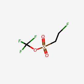 O=S(=O)(CCF)OC(F)(F)F